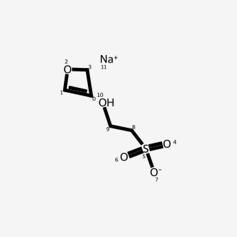 C1=COC1.O=S(=O)([O-])CCO.[Na+]